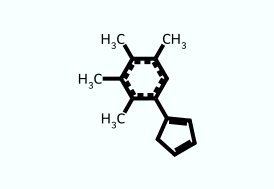 Cc1cc(C2=CC=CC2)c(C)c(C)c1C